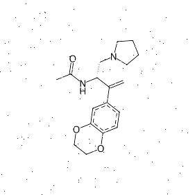 C=C(c1ccc2c(c1)OCCO2)[C@@H](CN1CCCC1)NC(C)=O